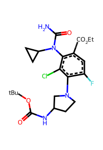 CCOC(=O)c1cc(F)c(N2CCC(NC(=O)OC(C)(C)C)C2)c(Cl)c1N(C(N)=O)C1CC1